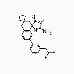 CN1C(=O)C2(CC3(CCC3)Cc3ccc(-c4cccc(CC(F)F)c4)cc32)N=C1N